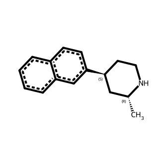 C[C@@H]1C[C@@H](c2ccc3ccccc3c2)CCN1